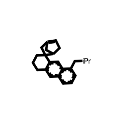 CC(C)Cc1cccc2cc3c(cc12)C1(CCC3)CC2=CCC1C2